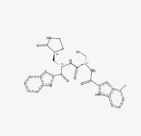 Cc1cccc2[nH]c(C(=O)N[C@@H](CC(C)C)C(=O)N[C@@H](C[C@@H]3CCNC3=O)C(=O)c3nc4ccccc4s3)cc12